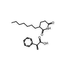 C=C(C(=O)O)c1ccccc1.CCCCCCCC1CCC(=O)NC1=O